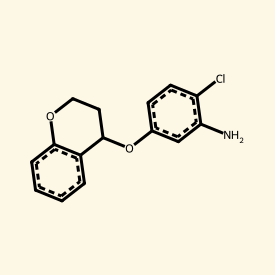 Nc1cc(OC2CCOc3ccccc32)ccc1Cl